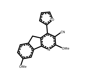 COc1ccc2c(c1)-c1nc(OC)c(C#N)c(-c3ccco3)c1C2